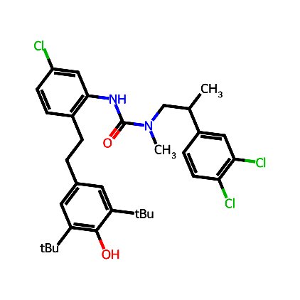 CC(CN(C)C(=O)Nc1cc(Cl)ccc1CCc1cc(C(C)(C)C)c(O)c(C(C)(C)C)c1)c1ccc(Cl)c(Cl)c1